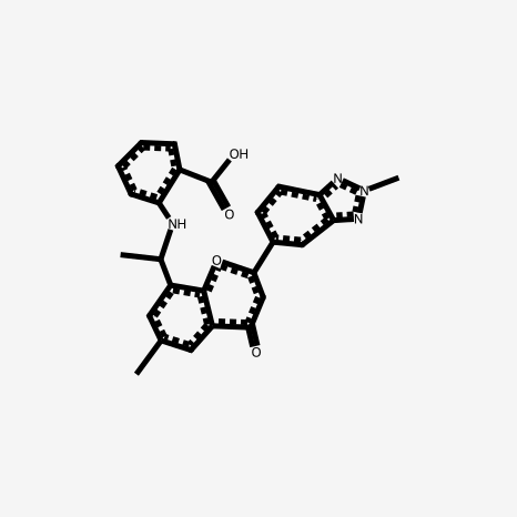 Cc1cc(C(C)Nc2ccccc2C(=O)O)c2oc(-c3ccc4nn(C)nc4c3)cc(=O)c2c1